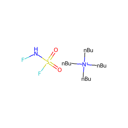 CCCC[N+](CCCC)(CCCC)CCCC.O=S(=O)(F)NF